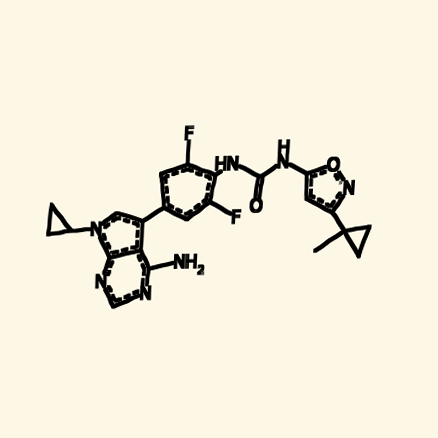 CC1(c2cc(NC(=O)Nc3c(F)cc(-c4cn(C5CC5)c5ncnc(N)c45)cc3F)on2)CC1